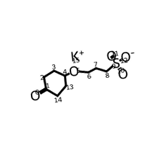 O=C1CCC(OCCCS(=O)(=O)[O-])CC1.[K+]